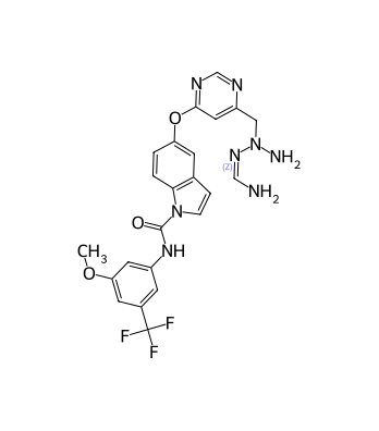 COc1cc(NC(=O)n2ccc3cc(Oc4cc(CN(N)/N=C\N)ncn4)ccc32)cc(C(F)(F)F)c1